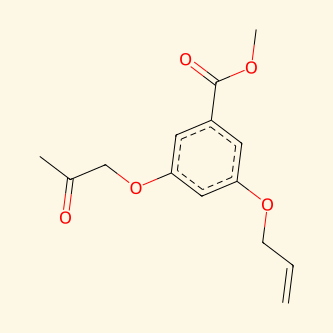 C=CCOc1cc(OCC(C)=O)cc(C(=O)OC)c1